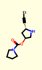 CCC#C[C@H]1C[C@H](OC(=O)N2CCCC2)CN1